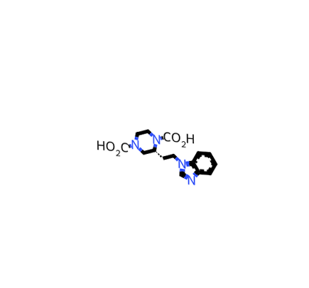 O=C(O)N1CCN(C(=O)O)[C@H](CCn2cnc3ccccc32)C1